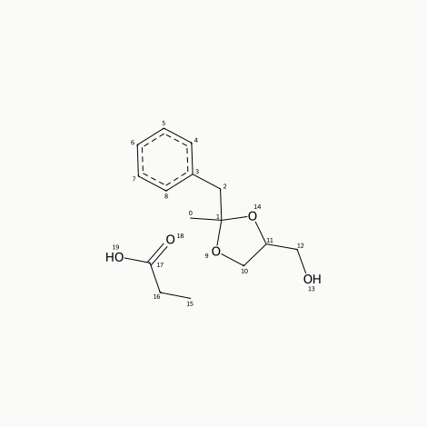 CC1(Cc2ccccc2)OCC(CO)O1.CCC(=O)O